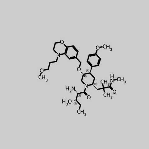 CC[C@H](C)[C@H](N)C(=O)N1C[C@H](OCc2ccc3c(c2)N(CCCOC)CCO3)[C@@H](c2ccc(OC)cc2)C[C@@H]1CC(C)(C)C(=O)NC